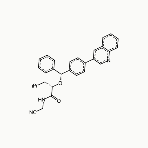 CC(C)C[C@H](O[C@H](c1ccccc1)c1ccc(-c2cnc3ccccc3c2)cc1)C(=O)NCC#N